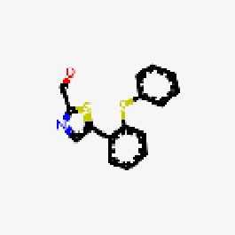 O=Cc1ncc(-c2ccccc2Sc2ccccc2)s1